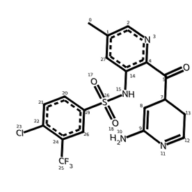 Cc1cnc(C(=O)C2C=C(N)N=CC2)c(NS(=O)(=O)c2ccc(Cl)c(C(F)(F)F)c2)c1